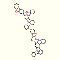 c1ccc2c(c1)oc1cc3c4cc5c(c6cccc7c8c(-c9ccc%10oc%11c(ccc%12c%13cc%14c(c%15cccc%16c%17ccccc%17n%14c%16%15)c%14c%15ccccc%15n(c%12%11)c%13%14)c%10c9)cccc8n5c76)c5c6ccccc6n(c3cc12)c45